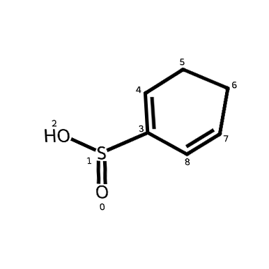 O=S(O)C1=CCCC=C1